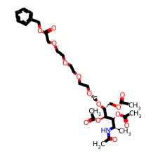 CC(=O)N[C@@H](C)[C@@H](OC(C)=O)[C@@H](OC(C)=O)[C@@H](COC(C)=O)OCOCCOCCOCCOCC(=O)OCc1ccccc1